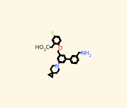 NCc1cccc(-c2cc(COc3ccc(F)cc3CC(=O)O)cc(N3CCC4(CC3)CC4)c2)c1